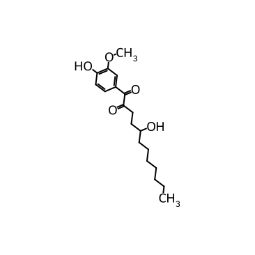 CCCCCCCC(O)CCC(=O)C(=O)c1ccc(O)c(OC)c1